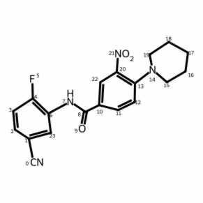 N#Cc1ccc(F)c(NC(=O)c2ccc(N3CCCCC3)c([N+](=O)[O-])c2)c1